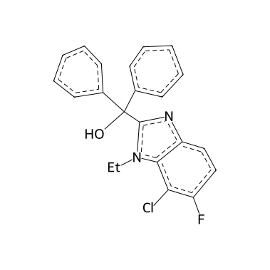 CCn1c(C(O)(c2ccccc2)c2ccccc2)nc2ccc(F)c(Cl)c21